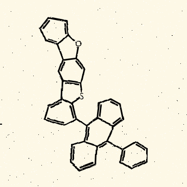 c1ccc(-c2c3ccccc3c(-c3cccc4c3sc3cc5oc6ccccc6c5cc34)c3ccccc23)cc1